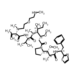 C=C(C)[C@@H](C(=O)N[C@H](C(=O)N(C)[C@@H]([C@@H](C)CC)[C@@H](CC(=O)N1CCC[C@H]1[C@H](OC)[C@@H](C)C(=O)N[C@@H](Cc1ccccc1)c1nccs1)OC)C(C)C)N(C)CCOCCNC